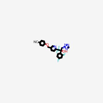 N#Cc1ccc(OCc2ccc(C(F)(F)C(O)(Cn3ncnn3)c3ccc(F)cc3F)nc2)cc1